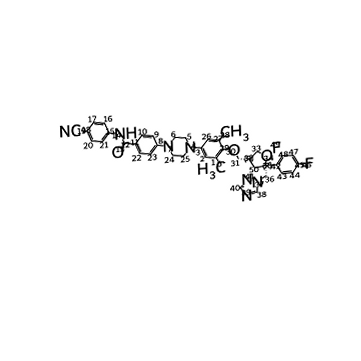 Cc1cc(N2CCN(c3ccc(C(=O)Nc4ccc(C#N)cc4)cc3)CC2)cc(C)c1OC[C@@H]1CO[C@@](Cn2cncn2)(c2ccc(F)cc2F)C1